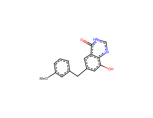 COc1cccc(Cc2cc(O)c3nc[nH]c(=O)c3c2)c1